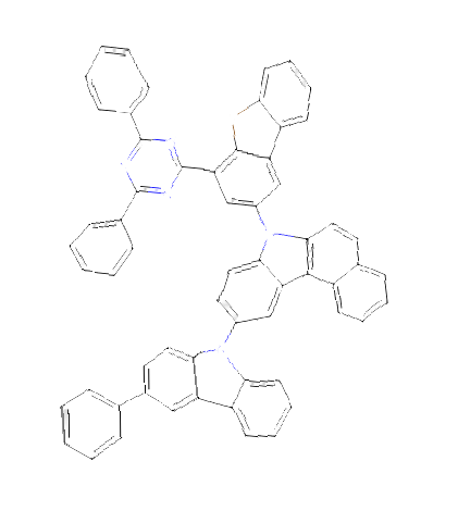 c1ccc(-c2ccc3c(c2)c2ccccc2n3-c2ccc3c(c2)c2c4ccccc4ccc2n3-c2cc(-c3nc(-c4ccccc4)nc(-c4ccccc4)n3)c3sc4ccccc4c3c2)cc1